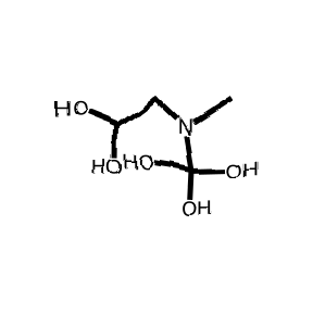 CN(CC(O)O)C(O)(O)O